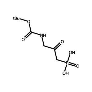 CC(C)(C)OC(=O)NCC(=O)CP(=O)(O)O